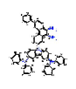 Nc1c(N)c2ccc(-c3ccccc3)cc2c2ccc(-n3c4ccc(N(c5ccccc5)c5ccccc5)cc4c4cc(N(c5ccccc5)c5ccccc5)ccc43)cc12